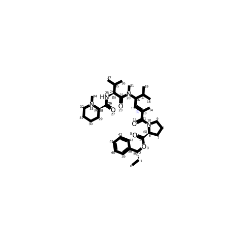 CC[C@@H](OC(=O)[C@@H]1CCCN1C(=O)/C(C)=C/C(C(C)C)N(C)C(=O)[C@@H](NC(=O)[C@H]1CCCCN1C)C(C)C)c1ccccc1